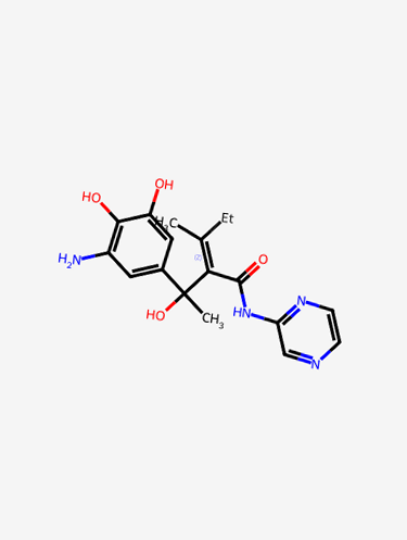 CC/C(C)=C(\C(=O)Nc1cnccn1)C(C)(O)c1cc(N)c(O)c(O)c1